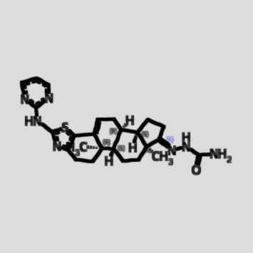 C[C@]12CCc3nc(Nc4ncccn4)sc3C1=CC[C@@H]1[C@@H]2CC[C@]2(C)/C(=N/NC(N)=O)CC[C@@H]12